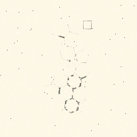 CC(CC1CCC1)C(=O)N1CCC(O)(Cn2cc(C(=O)N(C)C)c(-c3ccccc3F)cc2=O)C2(CCCC2)C1